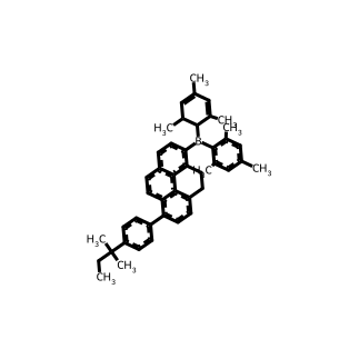 CCC(C)(C)c1ccc(-c2ccc3c4c2ccc2ccc(B(c5c(C)cc(C)cc5C)C5C(C)=CC(C)=CC5C)c(c24)CC3)cc1